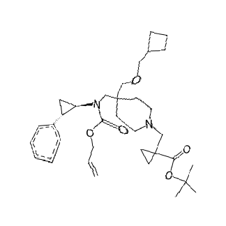 C=CCOC(=O)N(CC1(COCC2CCC2)CCN(CC2(C(=O)OC(C)(C)C)CC2)CC1)[C@@H]1C[C@H]1c1ccccc1